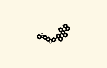 c1ccc2c(-c3c4ccccc4c(-c4ccc(-c5ccc6oc7cc8cc9c(cc8cc7c6c5)oc5ccccc59)c5ccccc45)c4ccccc34)cccc2c1